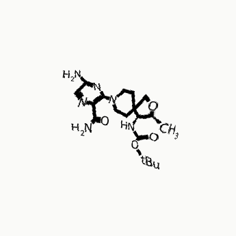 C[C@@H]1OCC2(CCN(c3nc(N)cnc3C(N)=O)CC2)[C@@H]1NC(=O)OC(C)(C)C